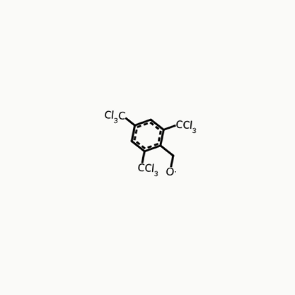 [O]Cc1c(C(Cl)(Cl)Cl)cc(C(Cl)(Cl)Cl)cc1C(Cl)(Cl)Cl